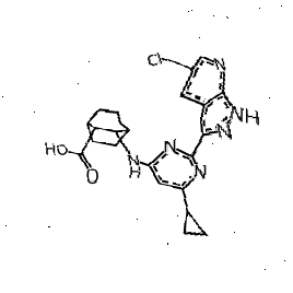 O=C(O)C1C2CCC(CC2)C1Nc1cc(C2CC2)nc(-c2n[nH]c3ncc(Cl)cc23)n1